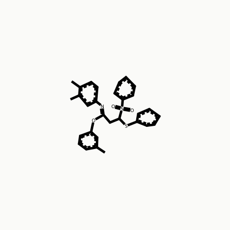 Cc1cccc(O/C(CC(Sc2ccccc2)S(=O)(=O)c2ccccc2)=N\c2ccc(C)c(C)c2)c1